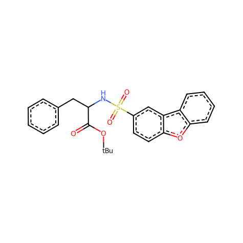 CC(C)(C)OC(=O)C(Cc1ccccc1)NS(=O)(=O)c1ccc2oc3ccccc3c2c1